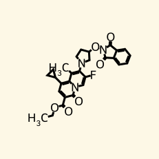 CCOC(=O)c1cc(C2CC2)c2c(C)c(N3CCC(ON4C(=O)c5ccccc5C4=O)C3)c(F)cn2c1=O